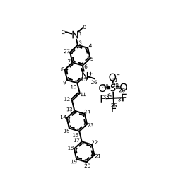 CN(C)c1ccc2c(ccc(/C=C/c3ccc(-c4ccccc4)cc3)[n+]2C)c1.O=S(=O)([O-])C(F)(F)F